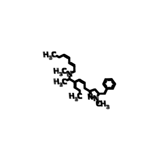 CC/C=C\C=C\CN(C)C(C)C(/C=C\CC1=NN(C)C(Cc2ccccc2)C1)=C/CC